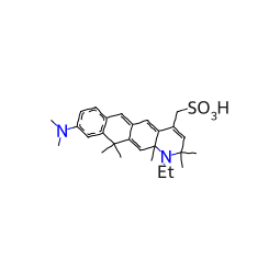 CCN1C(C)(C)C=C(CS(=O)(=O)O)C2=CC3=Cc4ccc(N(C)C)cc4C(C)(C)C3=CC21C